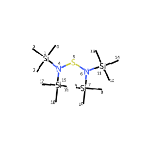 C[Si](C)(C)N(SN([Si](C)(C)C)[Si](C)(C)C)[Si](C)(C)C